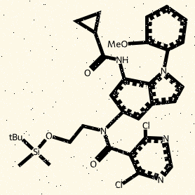 COc1ccccc1-n1ccc2cc(N(CCO[Si](C)(C)C(C)(C)C)C(=O)c3c(Cl)ncnc3Cl)cc(NC(=O)C3CC3)c21